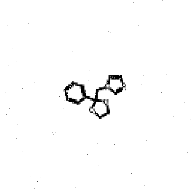 c1ccc(C2(Cn3ccnc3)OCCO2)cc1